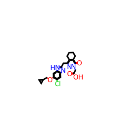 O=C(O)Cn1nc(Cc2nc3cc(Cl)c(OCC4CC4)cc3[nH]2)c2c(c1=O)CCCC2